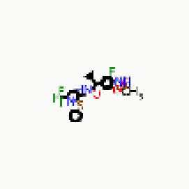 CS(=O)(=O)Nc1ccc(C(C(=O)NCc2ccc(C(F)(F)F)nc2SC2CCCCC2)C2CC2)cc1F